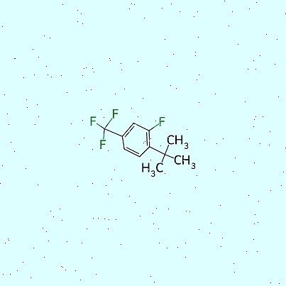 CC(C)(C)c1ccc(C(F)(F)F)cc1F